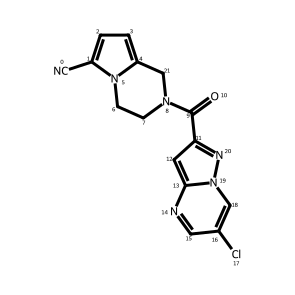 N#Cc1ccc2n1CCN(C(=O)c1cc3ncc(Cl)cn3n1)C2